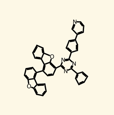 c1ccc(-c2nc(-c3ccc(-c4cccnc4)cc3)nc(-c3ccc(-c4cccc5oc6ccccc6c45)c4c3oc3ccccc34)n2)cc1